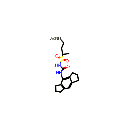 CC(=O)NCCC(C)S(=O)(=O)NC(=O)Nc1c2c(cc3c1CCC3)CCC2